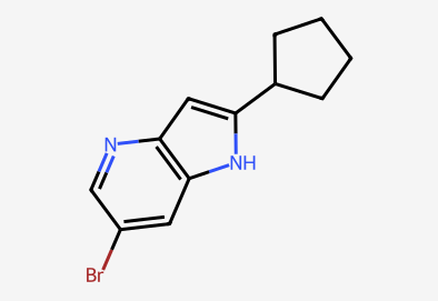 Brc1cnc2cc(C3CCCC3)[nH]c2c1